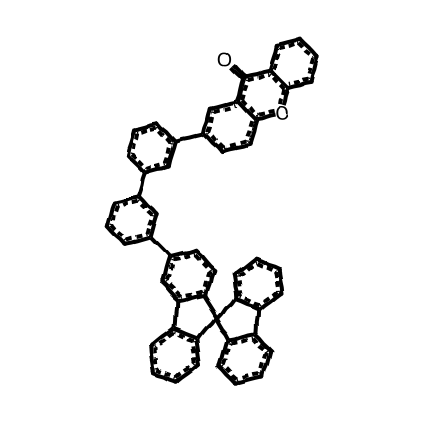 O=c1c2ccccc2oc2ccc(-c3cccc(-c4cccc(-c5ccc6c(c5)-c5ccccc5C65c6ccccc6-c6ccccc65)c4)c3)cc12